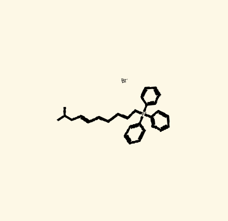 CC(C)C/C=C/CCCCC[P+](c1ccccc1)(c1ccccc1)c1ccccc1.[Br-]